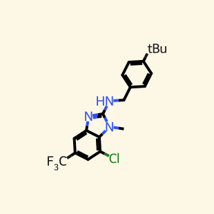 Cn1c(NCc2ccc(C(C)(C)C)cc2)nc2cc(C(F)(F)F)cc(Cl)c21